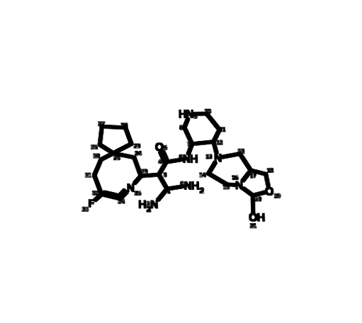 NC(N)C(C(=O)NC1CNCCC1N1CCN2C(COC2O)C1)C1CC2(CCCC2)CCC(F)=C=N1